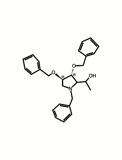 CC(O)C1[C@@H](OCc2ccccc2)[C@H](OCc2ccccc2)CN1Cc1ccccc1